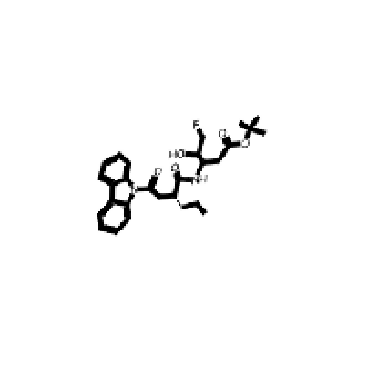 CCC[C@H](CC(=O)n1c2ccccc2c2ccccc21)C(=O)NC(CC(=O)OC(C)(C)C)C(O)CF